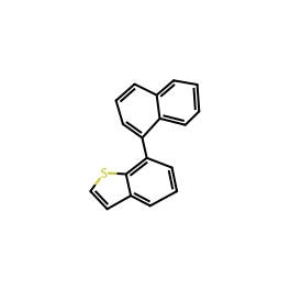 c1ccc2c(-c3cccc4ccsc34)cccc2c1